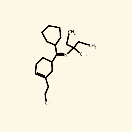 CCCC1=CCCC(/C(=N/C(C)(CC)CC)C2CCCCC2)C1